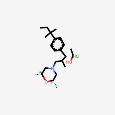 CCC(C)(C)c1ccc(CC(C)CN2C[C@@H](C)O[C@@H](C)C2)cc1.CCO.Cl